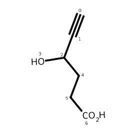 C#CC(O)CCC(=O)O